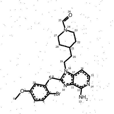 COc1ccc(Br)c(Sc2nc3c(N)nccc3n2CCC2CCN(C=O)CC2)c1